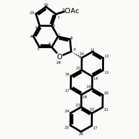 CC(=O)OC1=c2c(ccc3c2=C[C@H](C2C=CC=c4c2ccc2c4=CCC4=C2C=CCC4)O3)C=C1